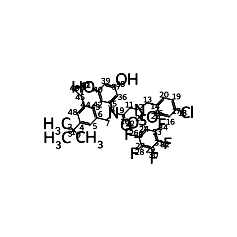 CC(C)(C)c1cc(CN(C(=O)CN(Cc2ccc(Cl)cc2)S(=O)(=O)c2c(F)c(F)c(F)c(F)c2F)c2cc(O)cc(O)c2)cc(C2CC2)c1